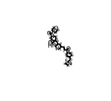 O=C(C=Cc1cnc2c(c1)CC1(CCN(C(=O)N3CCOCC3)CC1)C(=O)N2)N1CC=C(Cc2nccs2)CC1